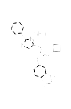 CCCCn1c(CN(Cc2ccc3c(c2)OCO3)CC2CCC2)cnc1-c1ccccc1